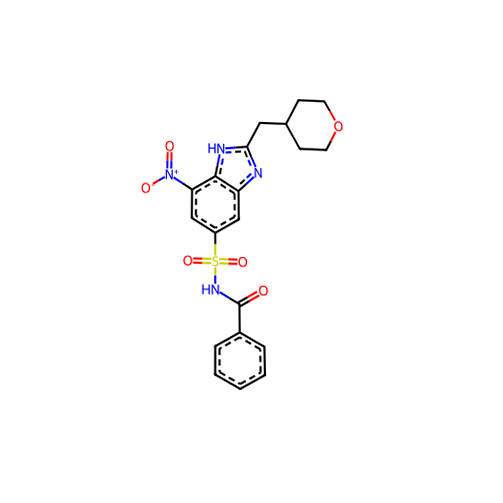 O=C(NS(=O)(=O)c1cc([N+](=O)[O-])c2[nH]c(CC3CCOCC3)nc2c1)c1ccccc1